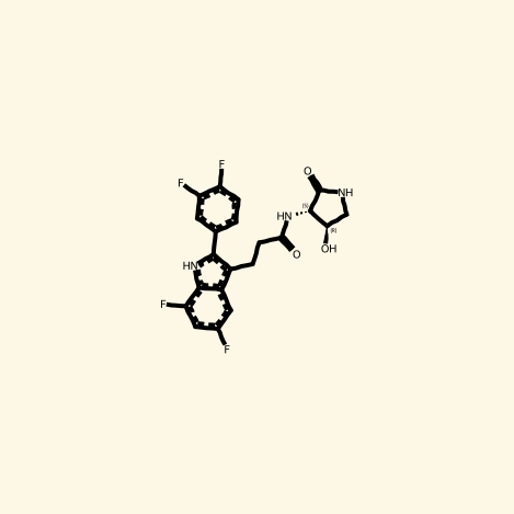 O=C(CCc1c(-c2ccc(F)c(F)c2)[nH]c2c(F)cc(F)cc12)N[C@@H]1C(=O)NC[C@H]1O